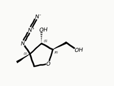 C[C@]1(N=[N+]=[N-])CO[C@H](CO)[C@H]1O